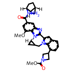 COC(=O)N1CC(c2cccc3cc(-c4nc5cc(C(=O)N6C[C@H]7CC[C@@H]6[C@@H]7N)cc(OC)c5n4C)n(CC4CC4)c23)C1